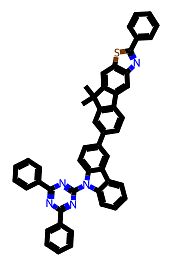 CC1(C)c2cc(-c3ccc4c(c3)c3ccccc3n4-c3nc(-c4ccccc4)nc(-c4ccccc4)n3)ccc2-c2cc3nc(-c4ccccc4)sc3cc21